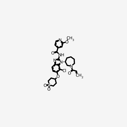 C=CC(=O)N1CCCC[C@@H](n2c(NC(=O)c3ccnc(OC)c3)nc3ccc(OC4CCS(=O)(=O)CC4)c(Cl)c32)C1